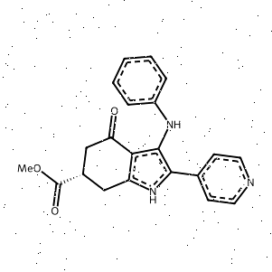 COC(=O)[C@@H]1CC(=O)c2c([nH]c(-c3ccncc3)c2Nc2ccccc2)C1